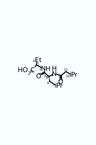 CCC(NC(=O)[C@H](CC(C)C)NC(=O)CC(C)C)C(=O)O